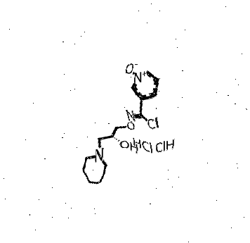 Cl.Cl.[O-][n+]1cccc(C(Cl)=NOC[C@H](O)CN2CCCCC2)c1